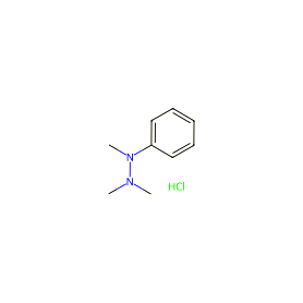 CN(C)N(C)c1ccccc1.Cl